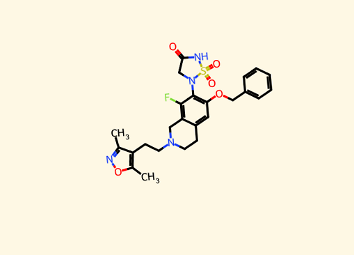 Cc1noc(C)c1CCN1CCc2cc(OCc3ccccc3)c(N3CC(=O)NS3(=O)=O)c(F)c2C1